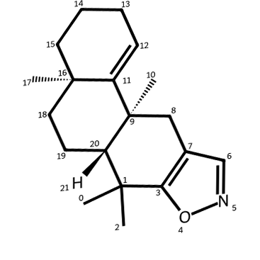 CC1(C)c2oncc2C[C@]2(C)C3=CCCC[C@]3(C)CC[C@@H]12